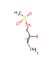 C/C=C(\I)COS(C)(=O)=O